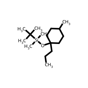 CCCC1(O[Si](C)(C)C(C)(C)C)CCC(C)CC1